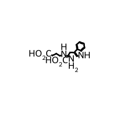 N[C@](Cc1c[nH]c2ccccc12)(NCCCC(=O)O)C(=O)O